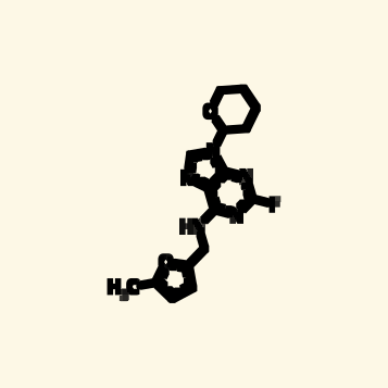 Cc1ccc(CNc2nc(F)nc3c2ncn3C2CCCCO2)o1